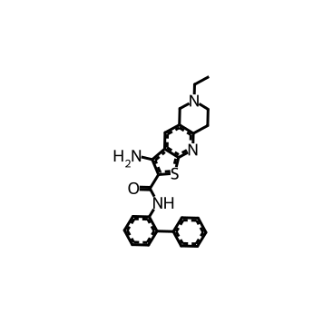 CCN1CCc2nc3sc(C(=O)Nc4ccccc4-c4ccccc4)c(N)c3cc2C1